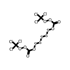 O=C(OOC(Cl)(Cl)Cl)OSSSSSOC(=O)OOC(Cl)(Cl)Cl